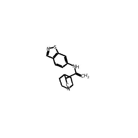 C=C(Nc1ccc2cnsc2c1)C1CN2CCC1CC2